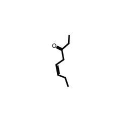 CC/C=C\CC(=O)CC